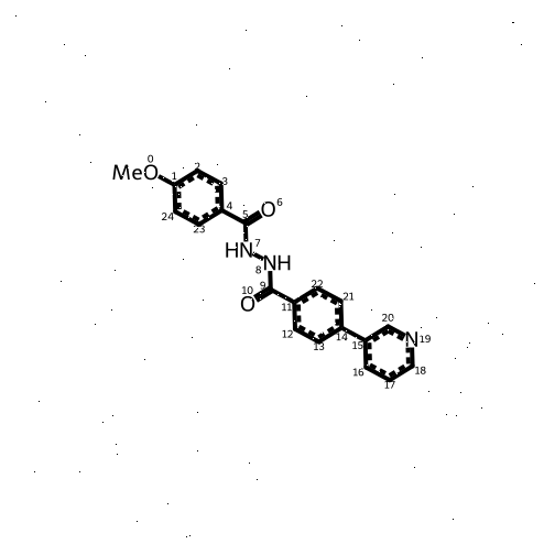 COc1ccc(C(=O)NNC(=O)c2ccc(-c3cccnc3)cc2)cc1